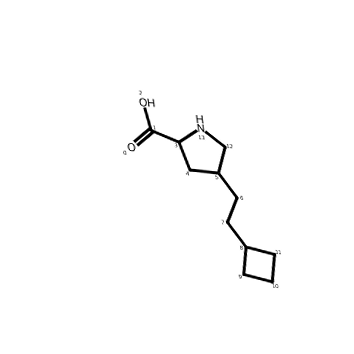 O=C(O)C1CC(CCC2CCC2)CN1